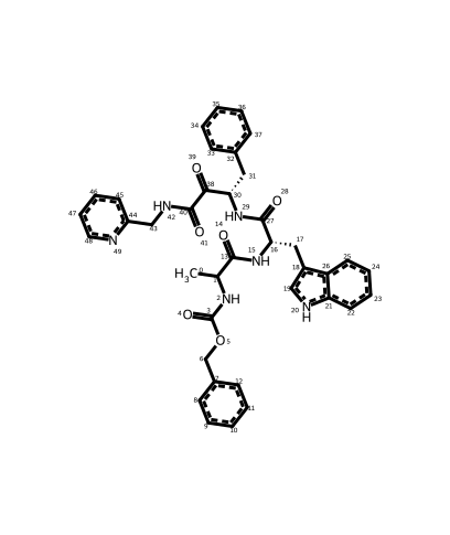 CC(NC(=O)OCc1ccccc1)C(=O)N[C@@H](Cc1c[nH]c2ccccc12)C(=O)N[C@@H](Cc1ccccc1)C(=O)C(=O)NCc1ccccn1